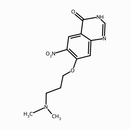 CN(C)CCCOc1cc2nc[nH]c(=O)c2cc1[N+](=O)[O-]